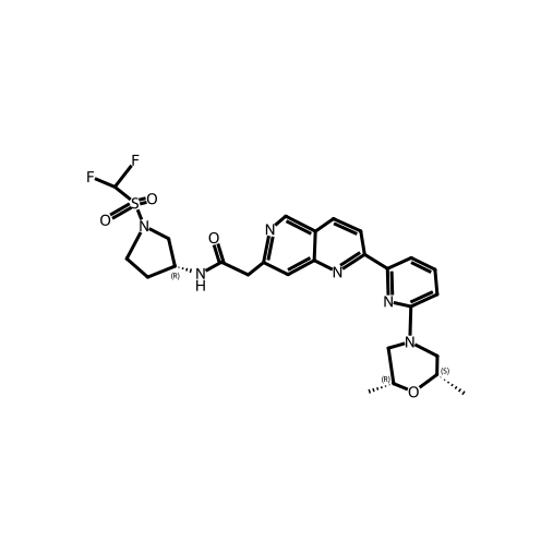 C[C@@H]1CN(c2cccc(-c3ccc4cnc(CC(=O)N[C@@H]5CCN(S(=O)(=O)C(F)F)C5)cc4n3)n2)C[C@H](C)O1